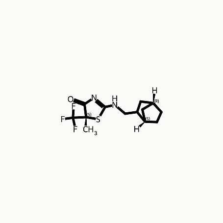 C[C@]1(C(F)(F)F)SC(NCC2C[C@@H]3CC[C@H]2C3)=NC1=O